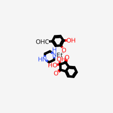 C1CNCCN1.CCOc1cc(C=O)ccc1O.O=C1c2ccccc2C(=O)C1(O)O